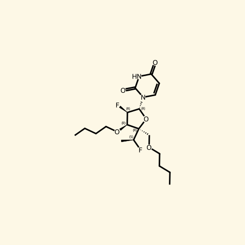 CCCCOC[C@@]1([C@H](C)F)O[C@@H](n2ccc(=O)[nH]c2=O)[C@H](F)[C@@H]1OCCCC